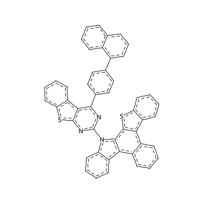 c1ccc2c(-c3ccc(-c4nc(-n5c6ccccc6c6c7ccccc7c7c8ccccc8sc7c65)nc5sc6ccccc6c45)cc3)cccc2c1